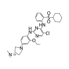 CCOc1cc(N2CC[C@H](N(C)C)C2)ccc1Nc1ncc(Cl)c(Nc2ccccc2S(=O)(=O)C2CCCCC2)n1